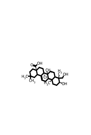 CC1(C)CC[C@]2(C(=O)O)CC[C@]3(C)C(=CCC4[C@@]5(C)CC[C@H](O)[C@@](C)(CO)C5CC[C@]43C)C2C1